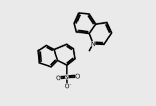 C[n+]1cccc2ccccc21.O=S(=O)([O-])c1cccc2ccccc12